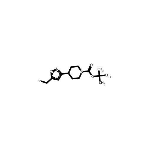 CC(C)(C)OC(=O)N1CCC(c2cc(CBr)on2)CC1